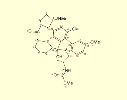 CNC1CCC(C(=O)N2CCCC(C(O)(CCCNC(=O)OC)c3cccc(Cl)c3-c3cccc(OC)c3)C2)C1